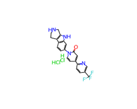 Cl.Cl.O=c1cc(-c2ccc(C(F)(F)F)cn2)ccn1-c1ccc2c3c([nH]c2c1)CNCC3